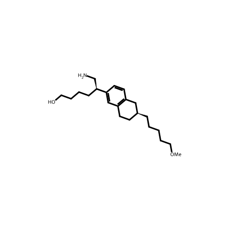 COCCCCC[C@H]1CCc2cc([C@H](CN)CCCCO)ccc2C1